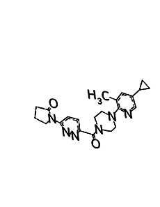 Cc1cc(C2CC2)cnc1N1CCN(C(=O)c2ccc(N3CCCC3=O)nn2)CC1